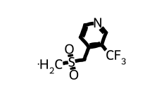 [CH2]S(=O)(=O)Cc1ccncc1C(F)(F)F